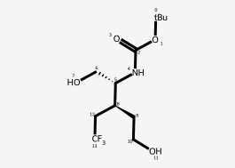 CC(C)(C)OC(=O)N[C@@H](CO)[C@@H](CCO)CC(F)(F)F